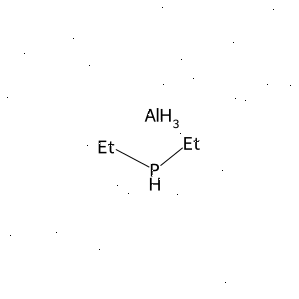 CCPCC.[AlH3]